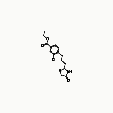 CCOC(=O)c1ccc(CCCC2NC(=O)CS2)c(Cl)c1